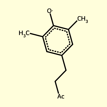 CC(=O)CCc1cc(C)c([O])c(C)c1